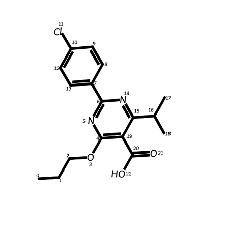 CCCOc1nc(-c2ccc(Cl)cc2)nc(C(C)C)c1C(=O)O